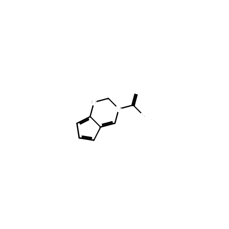 NC(=O)N1C=C2C=CC=C2NC1